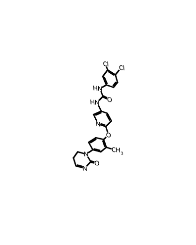 Cc1cc(N2CCC=NC2=O)ccc1Oc1ccc(NC(=O)Nc2ccc(Cl)c(Cl)c2)cn1